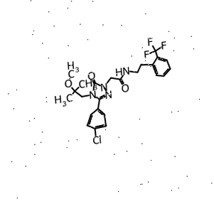 COC(C)(C)Cn1c(-c2ccc(Cl)cc2)nn(CC(=O)NCCc2ccccc2C(F)(F)F)c1=O